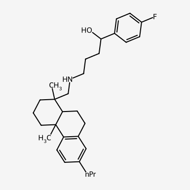 CCCc1ccc2c(c1)CCC1C(C)(CNCCCC(O)c3ccc(F)cc3)CCCC21C